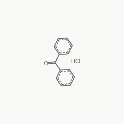 Cl.O=C(c1ccccc1)c1ccccc1